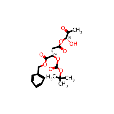 CC(=O)[C@H](O)OC(=O)C[C@H](OC(=O)OC(C)(C)C)C(=O)OCc1ccccc1